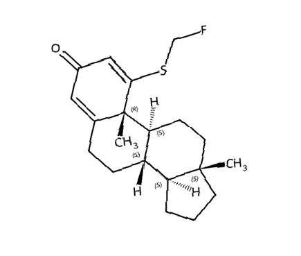 C[C@@]12CCC[C@H]1[C@@H]1CCC3=CC(=O)C=C(SCF)[C@]3(C)[C@H]1CC2